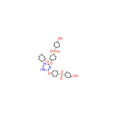 O=S(=O)(c1ccc(O)cc1)c1ccc(OC2=NC(Oc3ccccc3)(Oc3ccc(S(=O)(=O)c4ccc(O)cc4)cc3)N=CN2)cc1